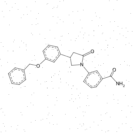 NC(=O)c1cccc(N2CC(c3cccc(OCc4ccccc4)c3)CC2=O)c1